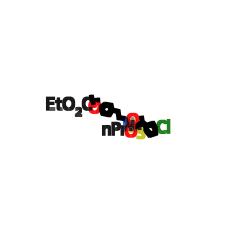 CCCN(CCCc1ccc(OC(C)(C)C(=O)OCC)cc1)S(=O)(=O)c1sc2ccc(Cl)cc2c1C